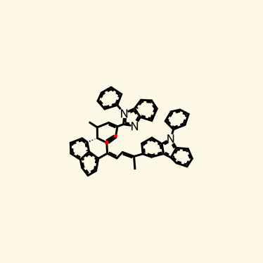 C=C/C(=C\C=C(/C)c1ccc2c(c1)c1ccccc1n2-c1ccccc1)c1cccc2cccc([C@H]3C=CC(c4nc5ccccc5n4-c4ccccc4)=CC3C)c12